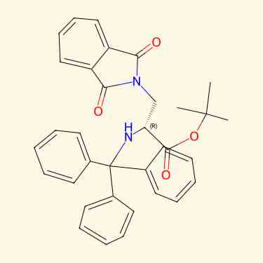 CC(C)(C)OC(=O)[C@@H](CN1C(=O)c2ccccc2C1=O)NC(c1ccccc1)(c1ccccc1)c1ccccc1